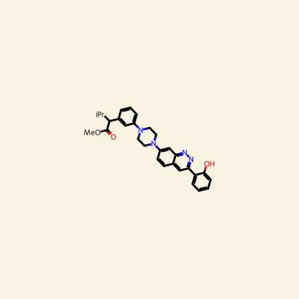 COC(=O)C(c1cccc(N2CCN(c3ccc4cc(-c5ccccc5O)nnc4c3)CC2)c1)C(C)C